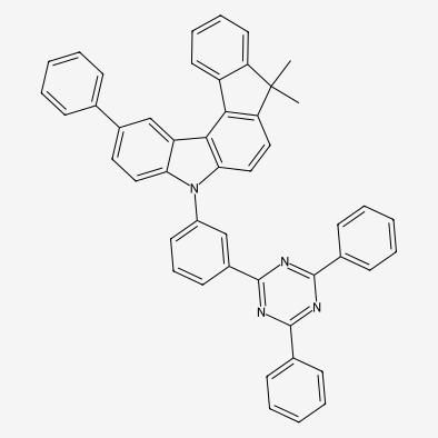 CC1(C)c2ccccc2-c2c1ccc1c2c2cc(-c3ccccc3)ccc2n1-c1cccc(-c2nc(-c3ccccc3)nc(-c3ccccc3)n2)c1